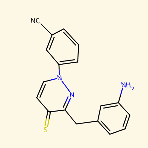 N#Cc1cccc(-n2ccc(=S)c(Cc3cccc(N)c3)n2)c1